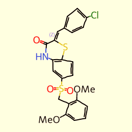 COc1cccc(OC)c1CS(=O)(=O)c1ccc2c(c1)NC(=O)/C(=C/c1ccc(Cl)cc1)S2